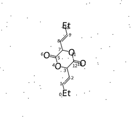 CCC=CC1OC(=O)C(C=CCC)OC1=O